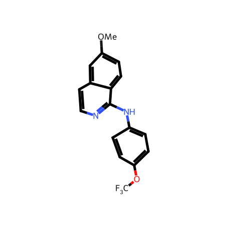 COc1ccc2c(Nc3ccc(OC(F)(F)F)cc3)nccc2c1